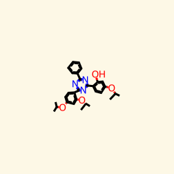 CC(C)Oc1ccc(-c2nc(-c3ccccc3)nc(-c3ccc(OC(C)C)cc3OC(C)C)n2)c(O)c1